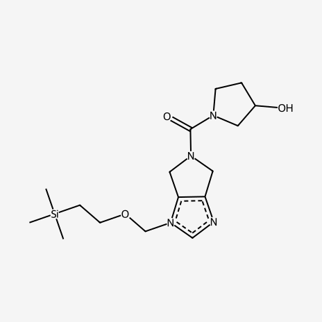 C[Si](C)(C)CCOCn1cnc2c1CN(C(=O)N1CCC(O)C1)C2